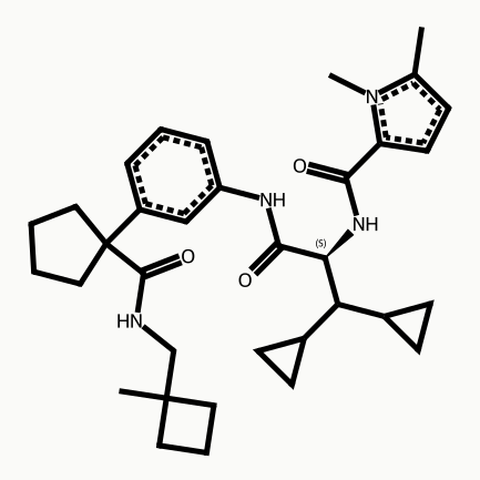 Cc1ccc(C(=O)N[C@H](C(=O)Nc2cccc(C3(C(=O)NCC4(C)CCC4)CCCC3)c2)C(C2CC2)C2CC2)n1C